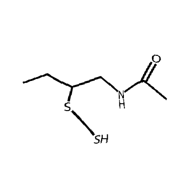 CCC(CNC(C)=O)SS